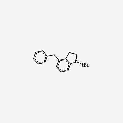 CC(C)(C)N1CCc2c(Cc3ccccc3)cccc21